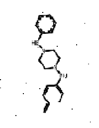 C=C/C=C\C(BN1CCN(Bc2ccccc2)CC1)=C/C